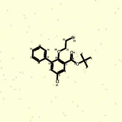 CC(C)(C)OC(=O)c1cc(Cl)cc(-c2ccccc2)c1OCCBr